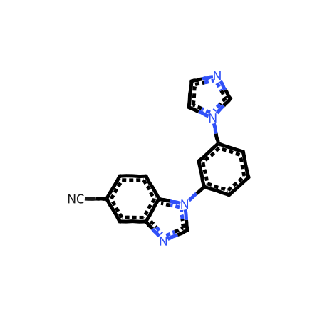 N#Cc1ccc2c(c1)ncn2-c1cccc(-n2ccnc2)c1